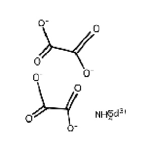 O=C([O-])C(=O)[O-].O=C([O-])C(=O)[O-].[Gd+3].[NH4+]